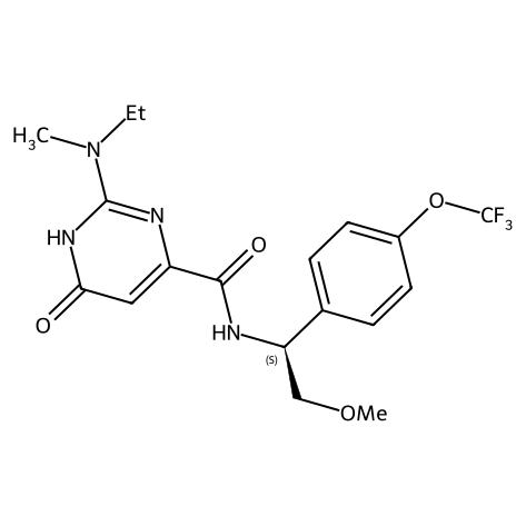 CCN(C)c1nc(C(=O)N[C@H](COC)c2ccc(OC(F)(F)F)cc2)cc(=O)[nH]1